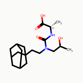 CC(O)CN(CCC12CC3CC(CC(C3)C1)C2)C(=O)N[C@@H](C)C(=O)O